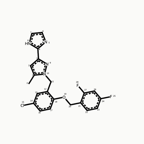 Cc1cc(-c2ncc[nH]2)nn1Cc1cc(Cl)ccc1OCc1ccc(F)cc1F